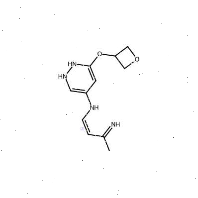 CC(=N)/C=C\NC1=CNNC(OC2COC2)=C1